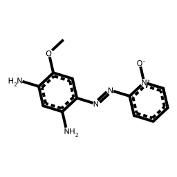 COc1cc(/N=N/c2cccc[n+]2[O-])c(N)cc1N